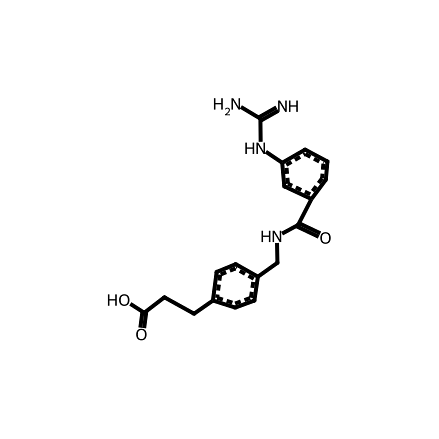 N=C(N)Nc1cccc(C(=O)NCc2ccc(CCC(=O)O)cc2)c1